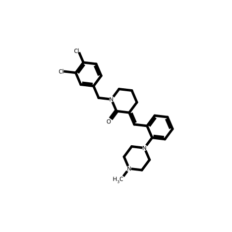 CN1CCN(c2ccccc2C=C2CCCN(Cc3ccc(Cl)c(Cl)c3)C2=O)CC1